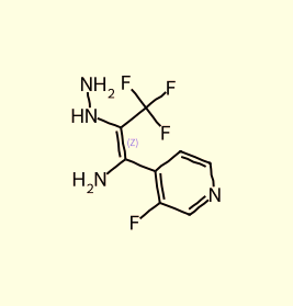 NN/C(=C(\N)c1ccncc1F)C(F)(F)F